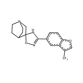 FC(F)(F)c1coc2ccc(C3=NOC4(CN5CCC4CC5)N3)cc12